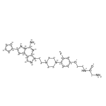 NCC(=O)NCCOc1ccc(N2CCN(CCn3ncc4c3nc(N)n3nc(-c5ccco5)cc43)CC2)c(F)c1